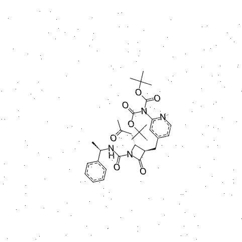 CC(=O)C[C@@H]1[C@@H](Cc2ccnc(N(C(=O)OC(C)(C)C)C(=O)OC(C)(C)C)c2)C(=O)N1C(=O)N[C@H](C)c1ccccc1